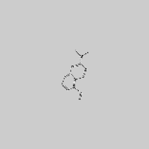 C=Cc1cccc2cc(N(C)C)ccc12